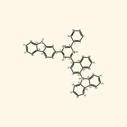 c1ccc(-c2nc(-c3ccc4c(c3)sc3ccccc34)nc(-c3ccc(-n4c5ccccc5c5ccccc54)c4ccccc34)n2)cc1